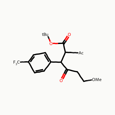 COCCC(=O)C(c1ccc(C(F)(F)F)cc1)C(C(C)=O)C(=O)OC(C)(C)C